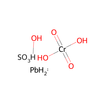 O=S(=O)(O)O.[O]=[Cr](=[O])([OH])[OH].[PbH2]